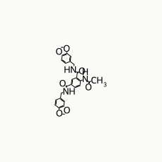 CC(=O)Nc1ccc(C(=O)NCc2ccc3c(c2)OCO3)cc1C(=O)NCc1ccc2c(c1)OCO2